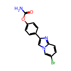 NC(=O)Oc1ccc(-c2cn3cc(Br)ccc3n2)cc1